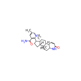 Cc1cnc(C2CC[C@H]3[C@@H]4CCC5NC(=O)C=C[C@]5(C)[C@@H]4CC[C@]23C)c(C(N)=O)c1